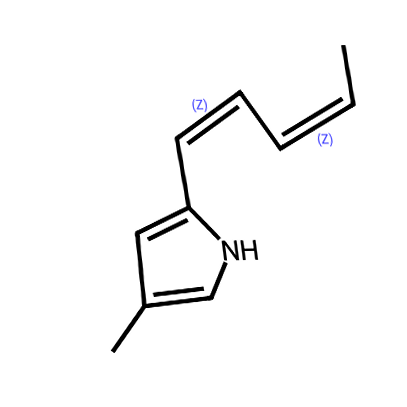 C/C=C\C=C/c1cc(C)c[nH]1